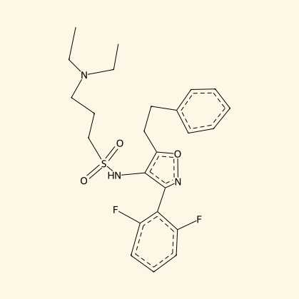 CCN(CC)CCCS(=O)(=O)Nc1c(-c2c(F)cccc2F)noc1CCc1ccccc1